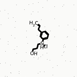 C=CCc1cccc([SiH](Cl)CCCO)c1